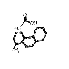 CC(=O)O.Cc1cccc2c1ccc1ccccc12